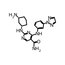 NC(=O)c1cnc(N[C@@H]2CCC[C@H](N)C2)nc1Nc1cccc(-n2nccn2)c1